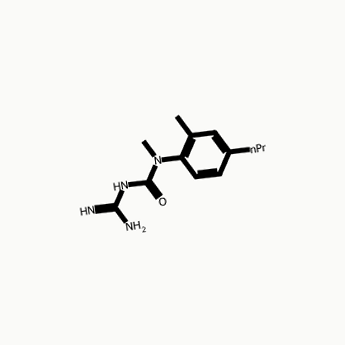 CCCc1ccc(N(C)C(=O)NC(=N)N)c(C)c1